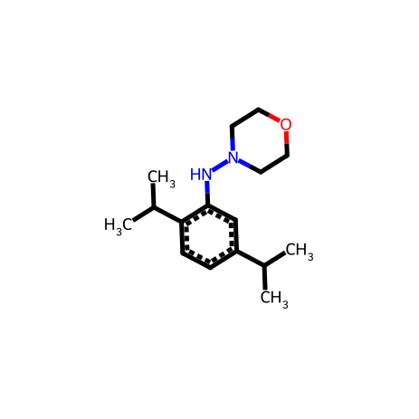 CC(C)c1ccc(C(C)C)c(NN2CCOCC2)c1